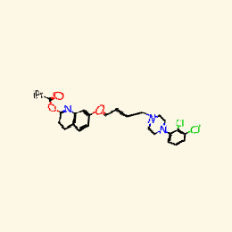 CC(C)C(=O)OC1=Nc2cc(OCCCCN3CCN(c4cccc(Cl)c4Cl)CC3)ccc2CC1